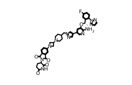 C[C@H](Oc1cc(-c2cnn(CC3CCN(C4CN(c5ccc6c(c5)C(=O)N(C5CCC(=O)NC5=O)C6=O)C4)CC3)c2)cnc1N)c1cc(F)ccc1-n1nccn1